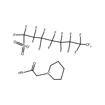 CCCC(=O)C[S+]1CCCCC1.O=S(=O)([O-])C(F)(F)C(F)(F)C(F)(F)C(F)(F)C(F)(F)C(F)(F)C(F)(F)C(F)(F)F